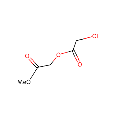 COC(=O)COC(=O)CO